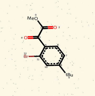 COC(=O)C(=O)c1ccc(C(C)(C)C)cc1Br